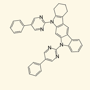 c1ccc(-c2cnc(-n3c4c(c5cc6c7ccccc7n(-c7ncc(-c8ccccc8)cn7)c6cc53)CCCC4)nc2)cc1